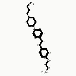 CCCC[C@H]1CC[C@H](c2ccc(CCc3ccc(OCCC)cc3)cc2)CC1